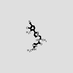 CNc1nc(C(=O)N[C@@H](C)Cn2ccc(-c3ccc(C#N)c(Cl)c3C)n2)cs1